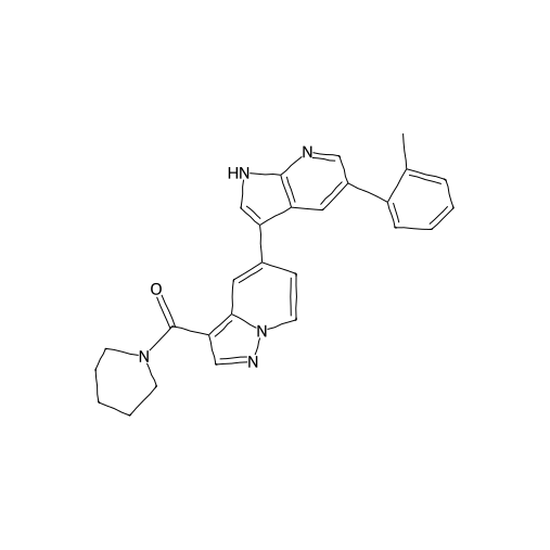 Cc1ccccc1-c1cnc2[nH]cc(-c3ccn4ncc(C(=O)N5CCCCC5)c4c3)c2c1